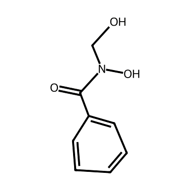 O=C(c1ccccc1)N(O)CO